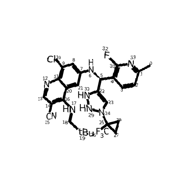 Cc1ccc([C@H](Nc2cc(Cl)c3ncc(C#N)c(NCC(C)(C)C)c3c2)C2=CN(C3(C(F)(F)F)CC3)NN2)c(F)n1